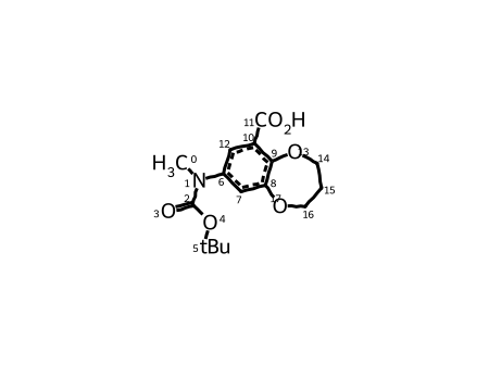 CN(C(=O)OC(C)(C)C)c1cc2c(c(C(=O)O)c1)OCCCO2